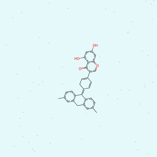 Cc1ccc2c(c1)Cc1cc(C)ccc1C2=C1C=CC(c2coc3cc(O)cc(O)c3c2=O)=CC1